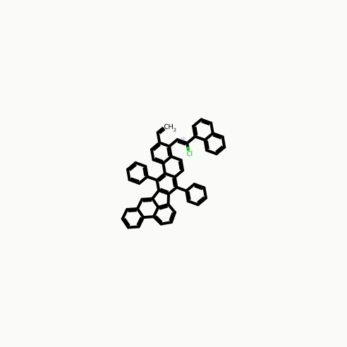 C=Cc1ccc2c(ccc3c(-c4ccccc4)c4c(c(-c5ccccc5)c32)-c2cc3ccccc3c3cccc-4c23)c1/C=C(\Cl)c1cccc2ccccc12